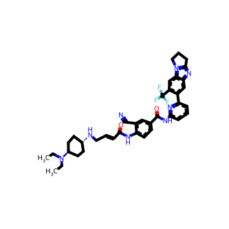 CCN(CC)[C@H]1CC[C@H](NC/C=C/C(=O)Nc2ccc(C(=O)Nc3cccc(-c4cc5nc6n(c5cc4C(F)(F)F)CCC6)n3)cc2C#N)CC1